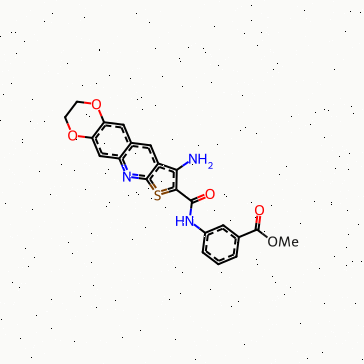 COC(=O)c1cccc(NC(=O)c2sc3nc4cc5c(cc4cc3c2N)OCCO5)c1